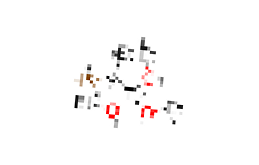 CC[O][Ti]([O]CC)([O]CC)[CH](S)CC